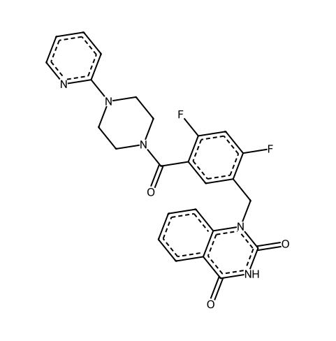 O=C(c1cc(Cn2c(=O)[nH]c(=O)c3ccccc32)c(F)cc1F)N1CCN(c2ccccn2)CC1